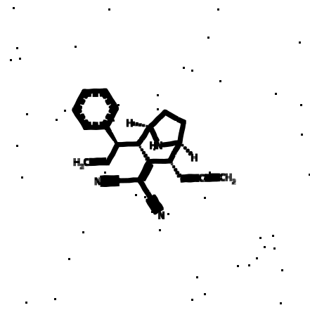 C=C=C[C@@H]1C(=C(C#N)C#N)[C@H]([C@@H](C=C)c2ccccc2)[C@H]2CC[C@@H]1N2